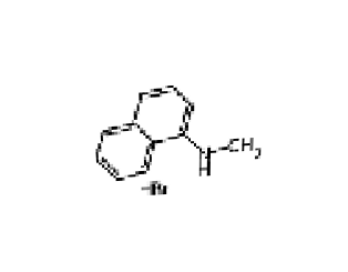 Br.CNc1cccc2ccccc12